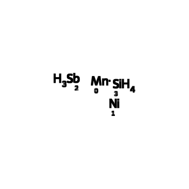 [Mn].[Ni].[SbH3].[SiH4]